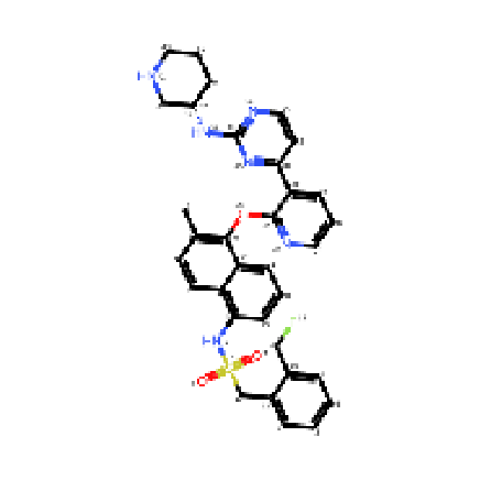 Cc1ccc2c(NS(=O)(=O)Cc3ccccc3CF)cccc2c1Oc1ncccc1-c1ccnc(N[C@H]2CCCNC2)n1